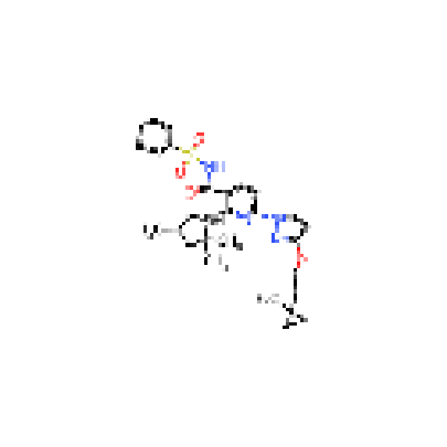 CC1C[SiH](c2nc(-n3ccc(OCCC4(C(F)(F)F)CC4)n3)ccc2C(=O)NS(=O)(=O)c2ccccc2)C(C)(C)C1